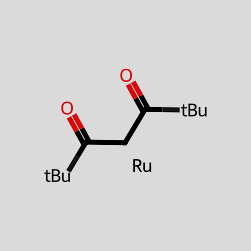 CC(C)(C)C(=O)CC(=O)C(C)(C)C.[Ru]